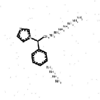 CC(c1ccccc1)n1ccnc1.N.N.N.N.N.N.N.N.N.N.N